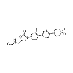 O=CNCC1CN(c2ccc(-c3ccc(N4CCS(=O)(=O)CC4)nc3)c(F)c2)C(=O)O1